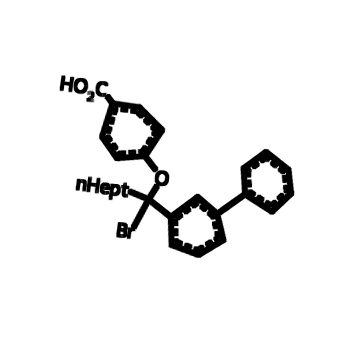 CCCCCCCC(Br)(Oc1ccc(C(=O)O)cc1)c1cccc(-c2ccccc2)c1